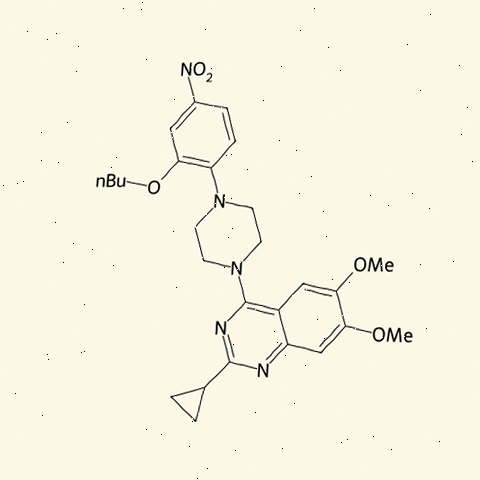 CCCCOc1cc([N+](=O)[O-])ccc1N1CCN(c2nc(C3CC3)nc3cc(OC)c(OC)cc23)CC1